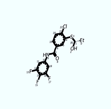 CC[C@H](O)Sc1cc(C(=O)Nc2cc(F)c(F)c(F)c2)ccc1Cl